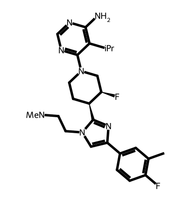 CNCCn1cc(-c2ccc(F)c(C)c2)nc1[C@H]1CCN(c2ncnc(N)c2C(C)C)C[C@H]1F